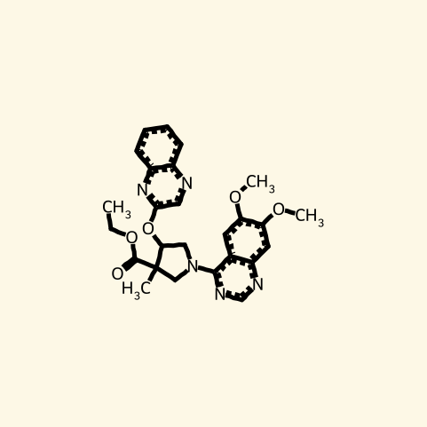 CCOC(=O)C1(C)CN(c2ncnc3cc(OC)c(OC)cc23)CC1Oc1cnc2ccccc2n1